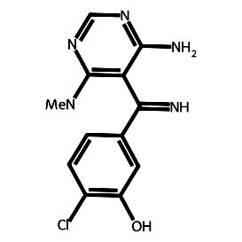 CNc1ncnc(N)c1C(=N)c1ccc(Cl)c(O)c1